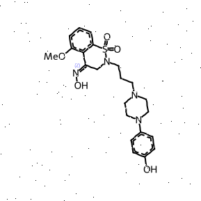 COc1cccc2c1/C(=N/O)CN(CCCN1CCN(c3ccc(O)cc3)CC1)S2(=O)=O